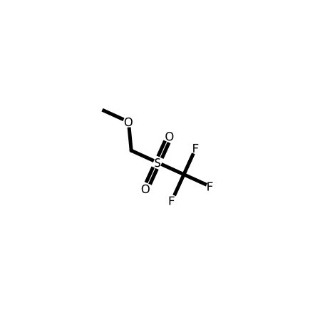 COCS(=O)(=O)C(F)(F)F